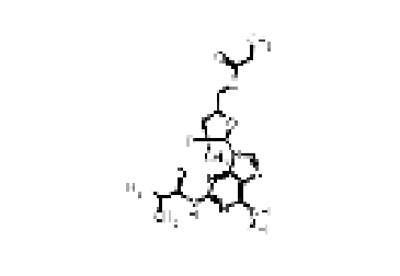 CCC(=O)OC[C@@H]1C[C@@](C)(F)[C@H](n2cnc3c(NC)nc(NC(=O)C(C)C)nc32)O1